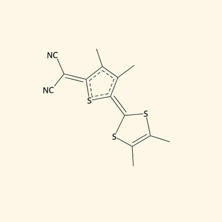 CC1=C(C)SC(=c2sc(=C(C#N)C#N)c(C)c2C)S1